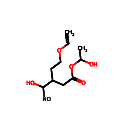 C=COCCC(CC(=O)OC(C)O)C(O)N=O